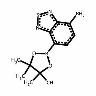 Bc1ccc(B2OC(C)(C)C(C)(C)O2)c2nsnc12